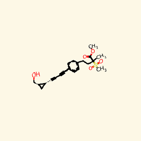 COC(=O)C(C)(CCc1ccc(C#CC#C[C@@H]2C[C@H]2CO)cc1)S(C)(=O)=O